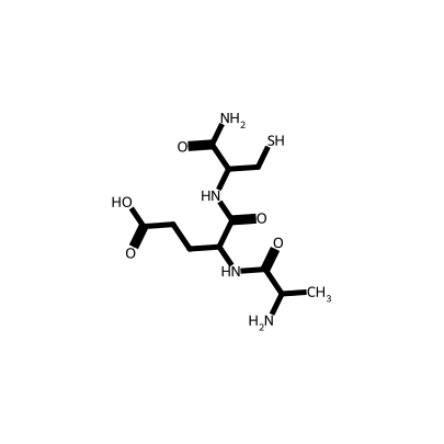 CC(N)C(=O)NC(CCC(=O)O)C(=O)NC(CS)C(N)=O